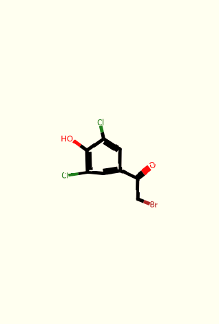 O=C(CBr)c1cc(Cl)c(O)c(Cl)c1